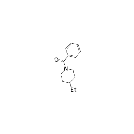 [CH2]CC1CCN(C(=O)c2ccccc2)CC1